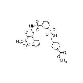 COC(=O)N1CCC(CNS(=O)(=O)c2cccc(S(=O)(=O)Nc3ccc(N(C)C)c(-c4ccco4)c3)c2)CC1